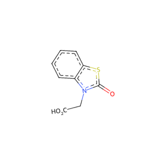 O=C(O)Cn1c(=O)sc2ccccc21